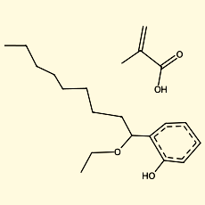 C=C(C)C(=O)O.CCCCCCCCC(OCC)c1ccccc1O